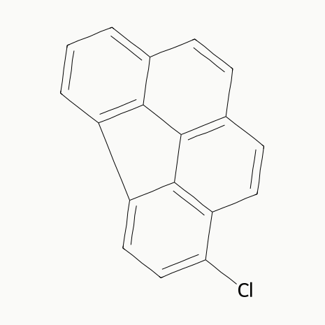 Clc1ccc2c3c1ccc1ccc4cccc-2c4c13